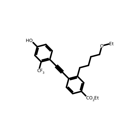 CCOCCCCc1cc(C(=O)OCC)ccc1C#Cc1ccc(O)cc1C(F)(F)F